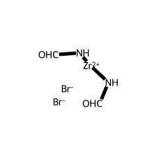 O=C[NH][Zr+2][NH]C=O.[Br-].[Br-]